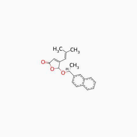 CC(C)=CC1=CC(=O)OC1O[C@H](C)c1ccc2ccccc2c1